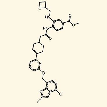 COC(=O)c1ccc(NC(=O)CC2CC=C(c3cccc(OCc4ccc(Cl)c5cc(F)oc45)n3)CC2)c(NCC2CCO2)c1